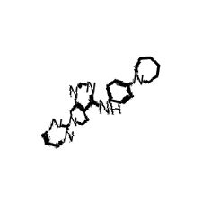 c1cnc(N2CCc3c(ncnc3Nc3ccc(N4CCCCCC4)cc3)C2)nc1